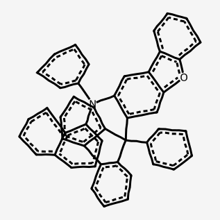 c1ccc(N(c2cc3c(cc2C2(c4ccccc4)c4ccccc4-c4ccccc42)oc2ccccc23)c2cccc3ccccc23)cc1